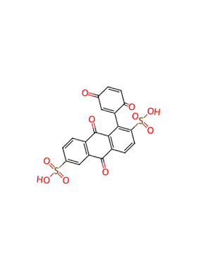 O=C1C=CC(=O)C(c2c(S(=O)(=O)O)ccc3c2C(=O)c2ccc(S(=O)(=O)O)cc2C3=O)=C1